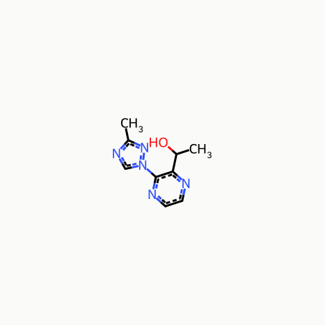 Cc1ncn(-c2nccnc2C(C)O)n1